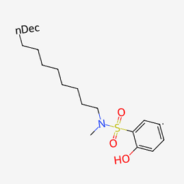 CCCCCCCCCCCCCCCCCCN(C)S(=O)(=O)c1c[c]ccc1O